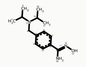 CC(C)N(Cc1ccc(/C(N)=N/O)cc1)C(C)C